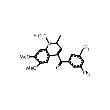 CCOC(=O)N1c2cc(OC)c(OC)cc2C(C(=O)c2cc(C(F)(F)F)cc(C(F)(F)F)c2)=CC1C